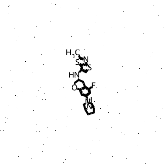 Cc1nc2scc(N[C@H]3COc4cc(N5CC6CCC(C5)N6)cc(F)c4C3)c2s1